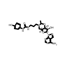 CC1O[C@H]2[C@@H](O)[C@H](n3ncc4c(N)ncnc43)O[C@@H]2CN1CCCNC(=O)Nc1ccc(O)cc1